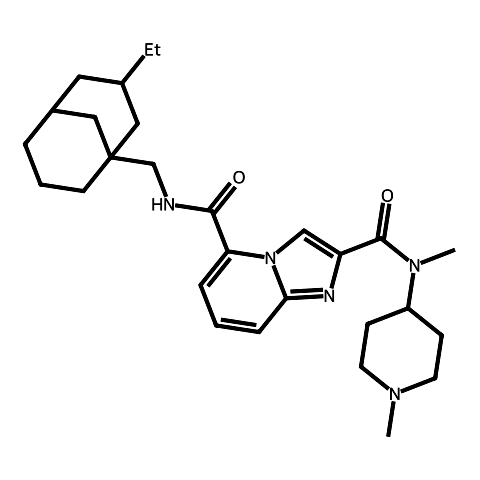 CCC1CC2CCCC(CNC(=O)c3cccc4nc(C(=O)N(C)C5CCN(C)CC5)cn34)(C1)C2